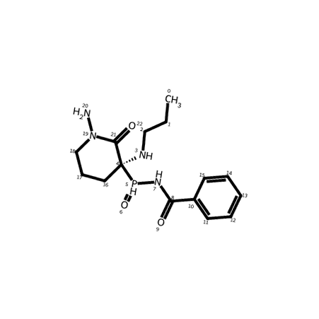 CCCN[C@]1([PH](=O)NC(=O)c2ccccc2)CCCN(N)C1=O